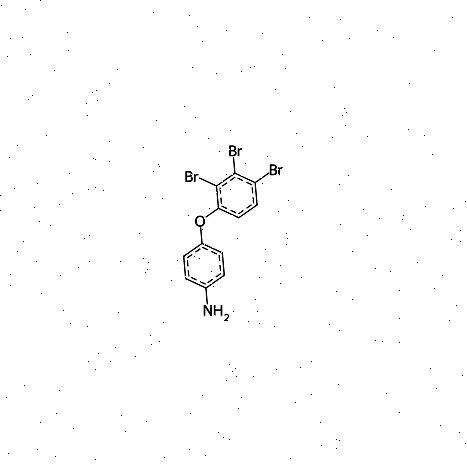 Nc1ccc(Oc2ccc(Br)c(Br)c2Br)cc1